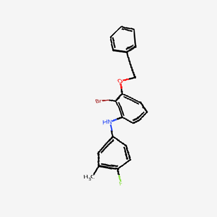 Cc1cc(Nc2cccc(OCc3ccccc3)c2Br)ccc1F